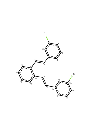 Fc1cccc(/C=C/c2ccccc2/C=C/c2cccc(F)c2)c1